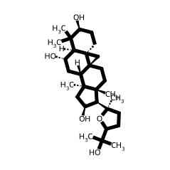 CC(C)(O)C1CC[C@](C)([C@H]2[C@@H](O)C[C@@]3(C)[C@@H]4C[C@H](O)[C@H]5C(C)(C)[C@@H](O)CC[C@@]56C[C@@]46CC[C@]23C)O1